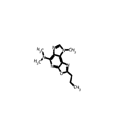 CCCc1nc2c(nc(N(C)C)c3ncn(C)c32)o1